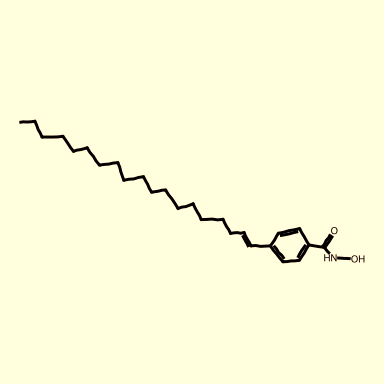 CCCCCCCCCCCCCCCCCC=Cc1ccc(C(=O)NO)cc1